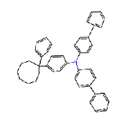 c1ccc(-c2ccc(N(c3ccc(-c4ccccc4)cc3)c3ccc(C4(c5ccccc5)CCCCCCC4)cc3)cc2)cc1